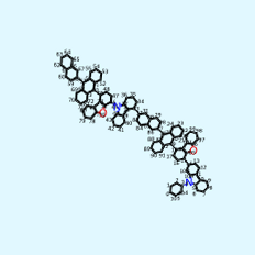 c1ccc(-n2c3ccccc3c3ccc(-c4ccc(-c5c6ccccc6c(-c6ccc7cc(-c8cccc9c8c8ccccc8n9-c8ccc(-c9c%10ccccc%10c(-c%10ccc%11ccccc%11c%10)c%10ccccc9%10)c9c8oc8ccccc89)ccc7c6)c6ccccc56)c5c4oc4ccccc45)cc32)cc1